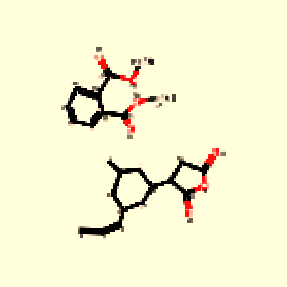 C=C=CC1CC(C)CC(C2CC(=O)OC2=O)C1.CCCCCCCCOC(=O)c1ccccc1C(=O)OCCCCCCCC